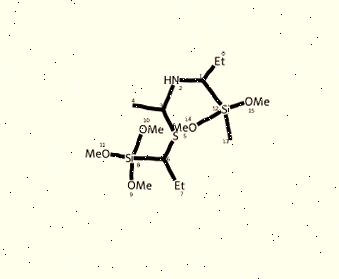 CCC(NC(C)SC(CC)[Si](OC)(OC)OC)[Si](C)(OC)OC